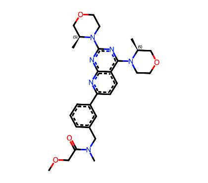 COCC(=O)N(C)Cc1cccc(-c2ccc3c(N4CCOC[C@@H]4C)nc(N4CCOC[C@@H]4C)nc3n2)c1